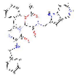 O=C(NCc1cc2cnccc2[nH]1)C(OC(=O)C(F)(F)F)n1c(-c2ccccc2)cnc(NCc2ccccc2)c1=O